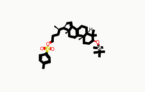 Cc1ccc(S(=O)(=O)OCCC[C@@H](C)[C@H]2CC=C3C4=C(CC[C@@]32C)[C@@]2(C)CC[C@H](O[Si](C)(C)C(C)(C)C)C(C)(C)[C@@H]2CC4)cc1